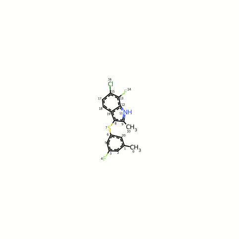 Cc1cc(F)cc(Sc2c(C)[nH]c3c(F)c(Cl)ccc23)c1